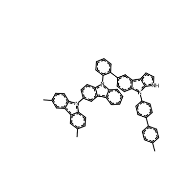 Cc1ccc(-c2ccc(-n3c4ccc(-c5ccccc5-n5c6ccccc6c6cc(-n7c8ccc(C)cc8c8cc(C)ccc87)ccc65)cc4c4cc[nH]c43)cc2)cc1